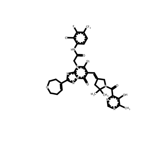 CCc1c(C=C2CN(C(=O)c3ncnc(C)c3O)C(C)(C)C2)c(=O)n2nc(C3=CCCOCC3)nc2n1CC(=O)Nc1ccc(C(F)(F)F)c(F)c1Cl